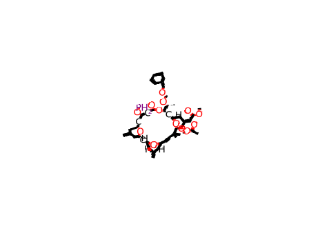 C=C1CC2C[C@@H](OP)CC(=O)O[C@@H]([C@@H](C)OCOCc3ccccc3)C[C@@H]3C/C(=C\C(=O)OC)[C@H](OC(C)=O)[C@@](OC)(O3)C(C)(C)/C=C/[C@H]3CC(=C)C[C@@H](C[C@@H](C1)O2)O3